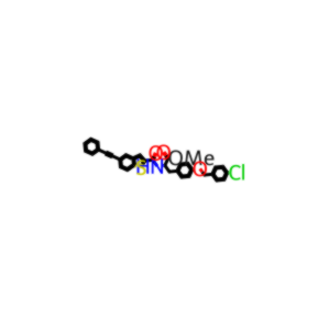 COC(=O)C(Cc1ccc(OCc2ccc(Cl)cc2)cc1)NC(=O)c1cc2cc(C#Cc3ccccc3)ccc2s1